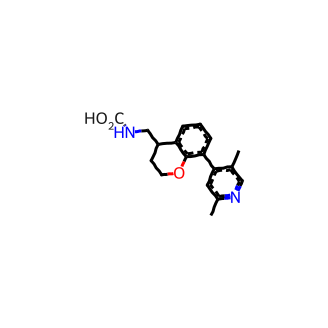 Cc1cc(-c2cccc3c2OCCC3CNC(=O)O)c(C)cn1